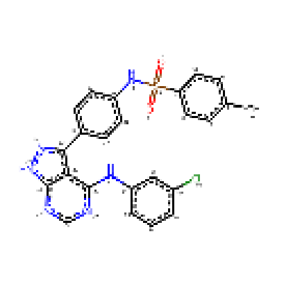 Cc1ccc(S(=O)(=O)Nc2ccc(-c3n[nH]c4ncnc(Nc5cccc(Cl)c5)c34)cc2)cc1